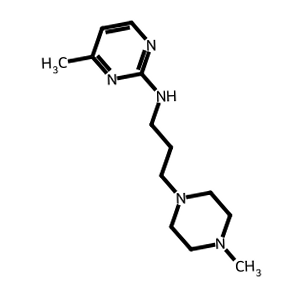 Cc1ccnc(NCCCN2CCN(C)CC2)n1